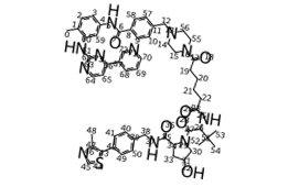 Cc1ccc(NC(=O)c2ccc(CN3CCN(C(=O)CCCCC(=O)NC(C(=O)N4CC(O)CC4C(=O)NCc4ccc(-c5scnc5C)cc4)C(C)(C)C)CC3)cc2)cc1Nc1nccc(-c2cccnc2)n1